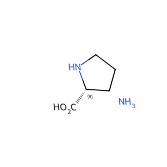 N.O=C(O)[C@H]1CCCN1